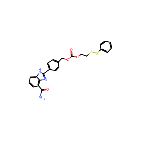 NC(=O)c1cccc2[nH]c(-c3ccc(COC(=O)OCCSSc4ccccc4)cc3)nc12